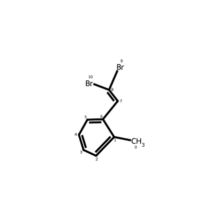 Cc1ccccc1C=C(Br)Br